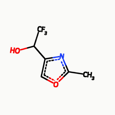 Cc1nc(C(O)C(F)(F)F)co1